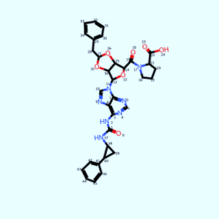 O=C(Nc1ncnc2c1ncn2C1OC(C(=O)N2CCCC2C(=O)O)C2OC(Cc3ccccc3)OC21)NC1CC1c1ccccc1